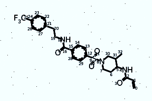 C=CC(=O)NC1CCN(S(=O)(=O)c2ccc(C(=O)NCCc3ccc(C(F)(F)F)cc3)cc2)CC1C